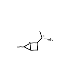 CCCC[C@@H](C)C1CC2C(C)N21